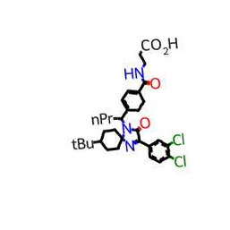 CCCC(C1=CC=C(C(=O)NCCC(=O)O)CC1)N1C(=O)C(c2ccc(Cl)c(Cl)c2)=NC12CCC(C(C)(C)C)CC2